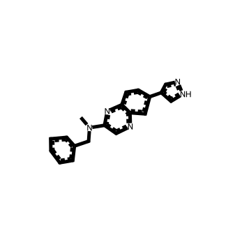 CN(Cc1ccccc1)c1cnc2cc(-c3cn[nH]c3)ccc2n1